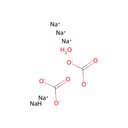 O.O=C([O-])[O-].O=C([O-])[O-].[Na+].[Na+].[Na+].[Na+].[NaH]